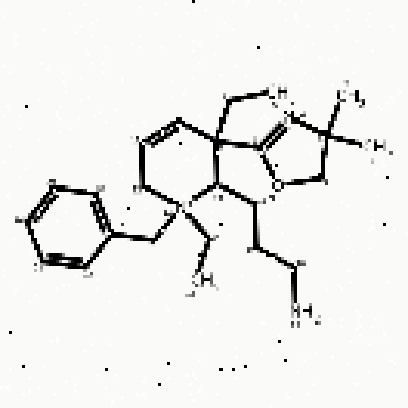 CCC1(C2=NC(C)(C)CO2)C=CC[N+](CC)(Cc2ccccc2)C1CCCN